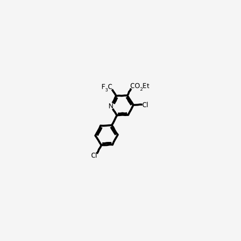 CCOC(=O)c1c(Cl)cc(-c2ccc(Cl)cc2)nc1C(F)(F)F